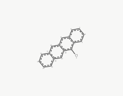 Clc1c2ccccc2cc2cc3ccccc3cc12